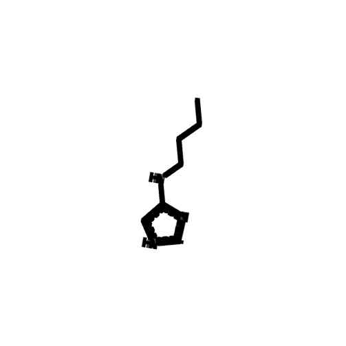 CCCCNc1c[nH][c]n1